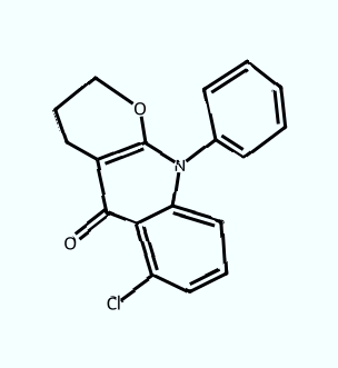 O=c1c2c(n(-c3ccccc3)c3cccc(Cl)c13)OCCC2